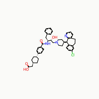 O=C(O)C[C@H]1CC[C@H](c2ccc(C(=O)N[C@@H](Cc3ccccc3)[C@H](O)CN3CCC(=C4c5ccc(Cl)cc5CCc5cccnc54)CC3)cc2)CC1